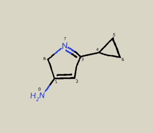 NC1=CC(C2CC2)=NC1